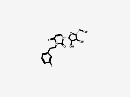 O=c1ccn([C@@H]2O[C@H](CO)C(O)C2O)c(=O)n1CCc1cccc(F)c1